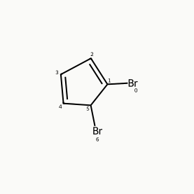 BrC1=CC=CC1Br